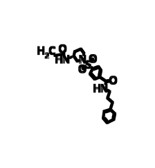 C=CC(=O)N[C@H]1CCCN(S(=O)(=O)c2ccc(C(=O)NCCCc3ccccc3)cc2)C1